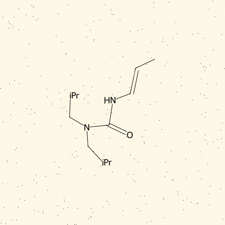 CC=CNC(=O)N(CC(C)C)CC(C)C